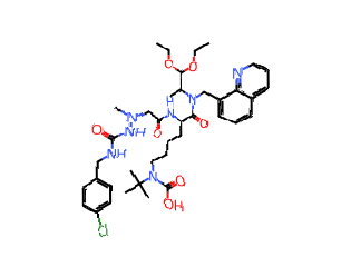 CCOC(OCC)C(C)N(Cc1cccc2cccnc12)C(=O)C(CCCCN(C(=O)O)C(C)(C)C)NC(=O)CN(C)NC(=O)NCc1ccc(Cl)cc1